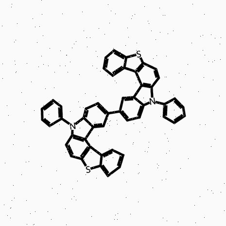 c1ccc(-n2c3ccc(-c4ccc5c(c4)c4c6c(ccc4n5-c4ccccc4)sc4ccccc46)cc3c3c4c(ccc32)sc2ccccc24)cc1